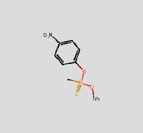 CCCOP(C)(=S)Oc1ccc([N+](=O)[O-])cc1